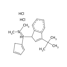 C[Si](C)=[Hf]([C]1=CC=CC1)[CH]1C=C(C(C)(C)C)c2ccccc21.Cl.Cl